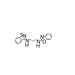 c1ccc2oc(NCCCNc3nsc4ccccc34)nc2c1